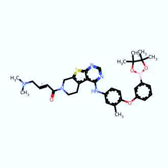 Cc1cc(Nc2ncnc3sc4c(c23)CCN(C(=O)/C=C/CN(C)C)C4)ccc1Oc1cccc(B2OC(C)(C)C(C)(C)O2)c1